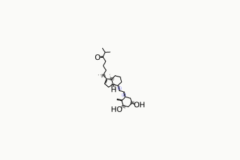 C=C1/C(=C\C=C2/CCC[C@]3(C)C([C@H](C)CCCC(=O)C(C)C)=CC[C@@H]23)C[C@@H](O)C[C@@H]1O